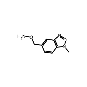 Cn1nnc2cc(CON)ccc21